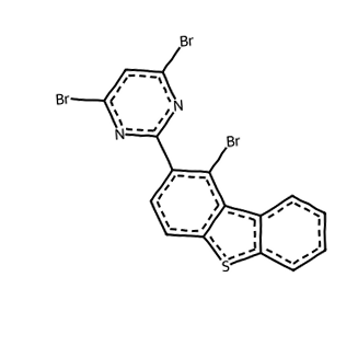 Brc1cc(Br)nc(-c2ccc3sc4ccccc4c3c2Br)n1